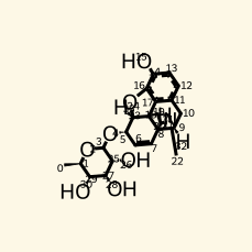 C[C@H]1OC(O[C@H]2C=C[C@H]3[C@H]4Cc5ccc(O)c6c5[C@@]3(CCN4C)[C@H]2O6)[C@H](O)[C@@H](O)[C@@H]1O